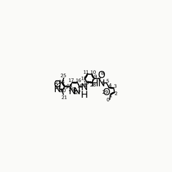 Cc1ccc(CNC(=O)c2cccc(Nc3ccc(-c4c(C)noc4C)nn3)c2)o1